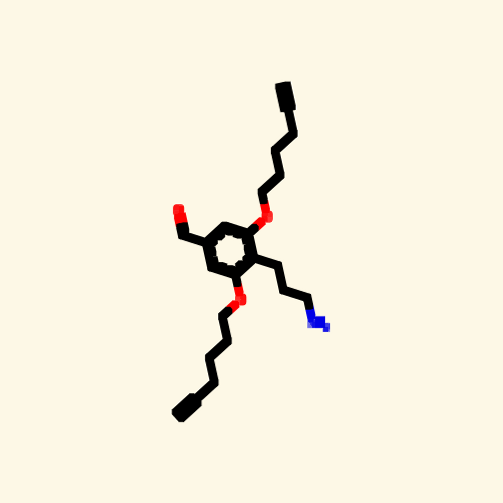 C#CCCCCOc1cc(C=O)cc(OCCCCC#C)c1CCCN